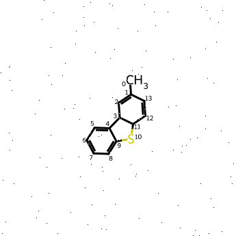 CC1=CC2c3ccccc3SC2C=C1